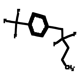 [CH2]CCC(F)(F)Cc1ccc(C(F)(F)F)cc1